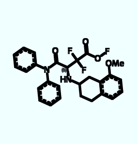 COc1cccc2c1CC(N[C@@H](C(=O)N(c1ccccc1)c1ccccc1)C(F)(F)C(=O)OF)CC2